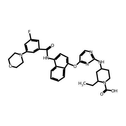 CCC1CC(Nc2nccc(Oc3ccc(NC(=O)c4cc(F)cc(N5CCOCC5)c4)c4ccccc34)n2)CCN1C(=O)O